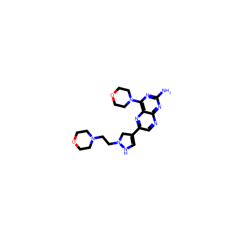 Nc1nc(N2CCOCC2)c2nc(C3=CNN(CCN4CCOCC4)C3)cnc2n1